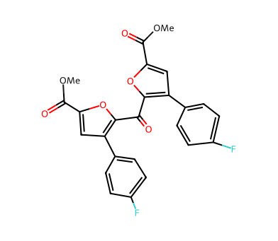 COC(=O)c1cc(-c2ccc(F)cc2)c(C(=O)c2oc(C(=O)OC)cc2-c2ccc(F)cc2)o1